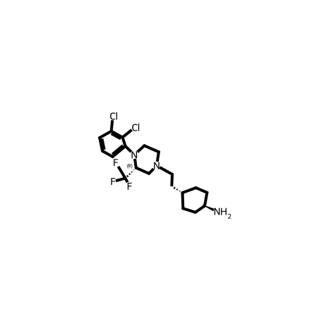 N[C@H]1CC[C@H](CCN2CCN(c3cccc(Cl)c3Cl)[C@@H](C(F)(F)F)C2)CC1